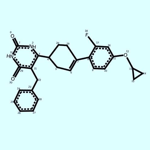 O=c1[nH]c(C2CC=C(c3ccc(OC4CC4)cc3F)CC2)c(Cc2ccccc2)c(=O)[nH]1